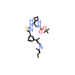 CC/C=C(C)/N=C\C=C(/C)c1cccc(-c2csc(NC(CNC(=O)OC(C)(C)C)=C3CCC3)n2)c1